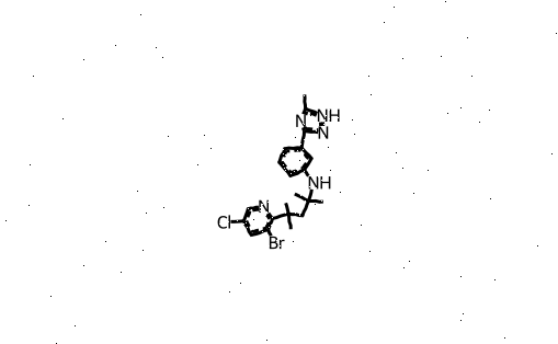 Cc1nc(-c2cccc(NC(C)(C)CC(C)(C)c3ncc(Cl)cc3Br)c2)n[nH]1